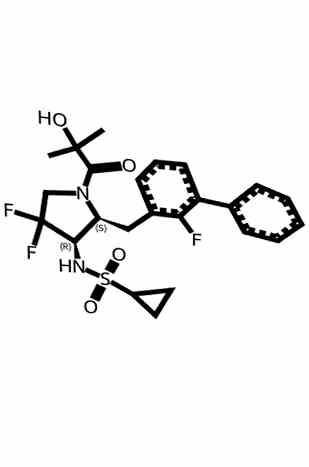 CC(C)(O)C(=O)N1CC(F)(F)[C@H](NS(=O)(=O)C2CC2)[C@@H]1Cc1cccc(-c2ccccc2)c1F